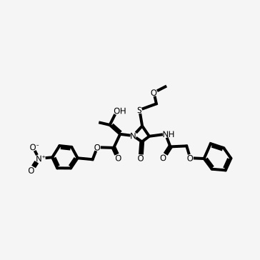 COCSC1C(NC(=O)COc2ccccc2)C(=O)N1C(C(=O)OCc1ccc([N+](=O)[O-])cc1)=C(C)O